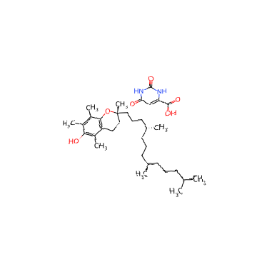 Cc1c(C)c2c(c(C)c1O)CC[C@@](C)(CCC[C@H](C)CCC[C@H](C)CCCC(C)C)O2.O=C(O)c1cc(=O)[nH]c(=O)[nH]1